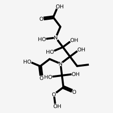 CCC(O)(N(CC(=O)O)C(O)(O)C(=O)OO)C(O)(O)N(O)CC(=O)O